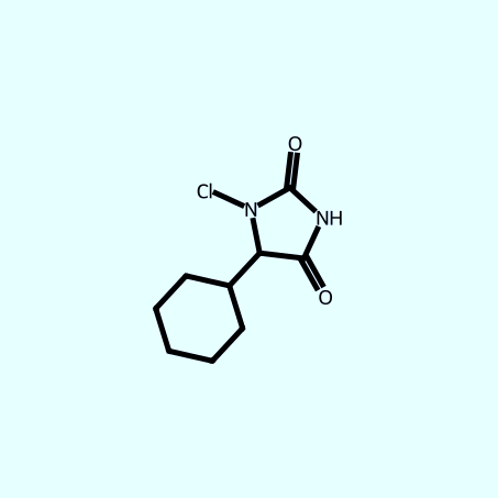 O=C1NC(=O)N(Cl)C1C1CCCCC1